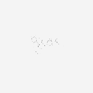 C=C(Nc1ccc(C(N)=O)nc1)N(c1ccccc1)C1CCNCC1